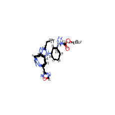 CC(C)Cc1nc2cnc(-c3ncon3)cc2n1[C@@H]1CCC[C@H](NC(=O)OC(C)(C)C)C1